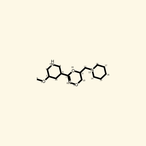 COC1CNCC(C2=NOCC(CN3CCCCC3)O2)C1